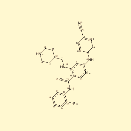 N#CC1=NCC(Nc2cc(NCC3CCNCC3)c(C(=O)Nc3ccccc3F)cn2)N=C1